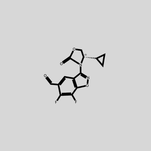 O=Cc1cc2c(N3C(=O)OC[C@@H]3C3CC3)noc2c(F)c1F